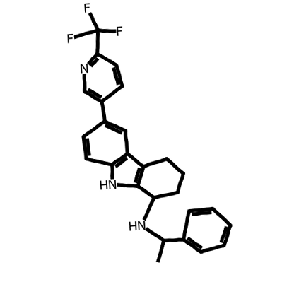 CC(NC1CCCc2c1[nH]c1ccc(-c3ccc(C(F)(F)F)nc3)cc21)c1ccccc1